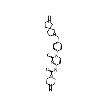 O=C(Nc1ccn(-c2ccc(CN3CCC4(CCNC4)C3)cc2)c(=O)n1)N1CCNCC1